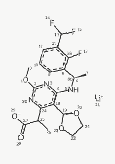 COc1nc(N[C@H](C)c2cccc(C(F)F)c2F)c(C2OCCO2)c(C(C)C(=O)[O-])n1.[Li+]